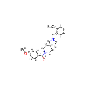 CC(C)COc1ccccc1CN1CCC2(CCN(C(=O)c3ccc(OC(C)C)cc3)CC2)C1